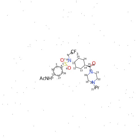 CC(=O)Nc1ccc(S(=O)(=O)N(CC(F)(F)F)[C@H]2CC[C@H](C(=O)N3CCN(C(C)C)CC3)CC2)cc1